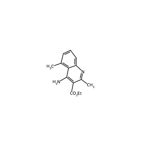 CCOC(=O)c1c(C)nc2cccc(C)c2c1N